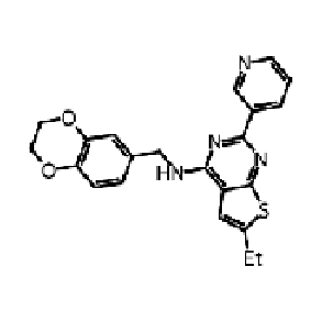 CCc1cc2c(NCc3ccc4c(c3)OCCO4)nc(-c3cccnc3)nc2s1